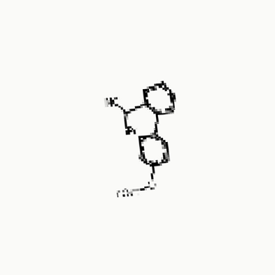 CCCCCCCCOc1ccc(-c2ccccc2C(C#N)C(C)C)cc1